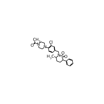 CC(=O)N1CCN(c2ccc(CN3C(C)CCC(c4ccccc4)S3(=O)=O)cc2Cl)CC1